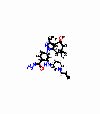 C=CCN1CCC[C@H](Nc2cc(-n3nc(C(F)(F)F)c4c3CC(C)(C)CC4=O)ccc2C(N)=O)C1